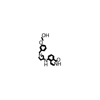 O=c1[nH]ccc2c(NC3CCN(Cc4cccc(OCCO)c4)C3)cccc12